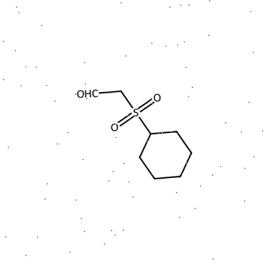 O=[C]CS(=O)(=O)C1CCCCC1